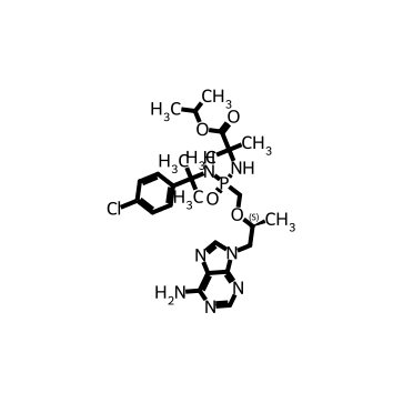 CC(C)OC(=O)C(C)(C)NP(=O)(CO[C@@H](C)Cn1cnc2c(N)ncnc21)NC(C)(C)c1ccc(Cl)cc1